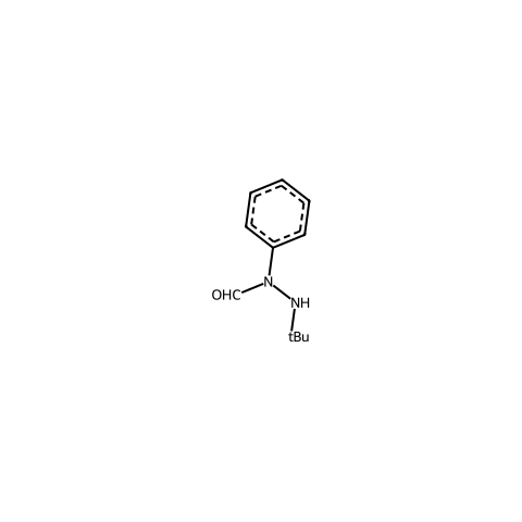 CC(C)(C)NN(C=O)c1ccccc1